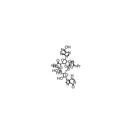 CCCC(=O)OP(=O)(OC[C@H]1O[C@@H](n2cnc3c(=O)nc[nH]c32)[C@H](O)[C@H]1O)O[C@H]1[C@@H](O)[C@H](n2cnc3c(O)ncnc32)O[C@@H]1C(OP(=O)(O)O)C(=O)CCC